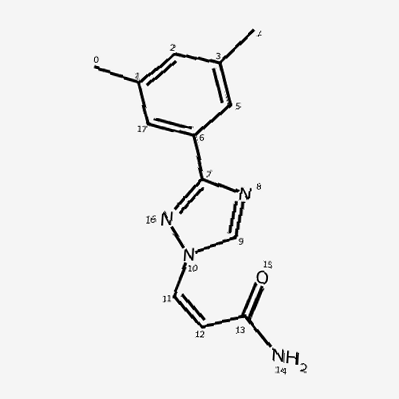 Cc1cc(C)cc(-c2ncn(/C=C\C(N)=O)n2)c1